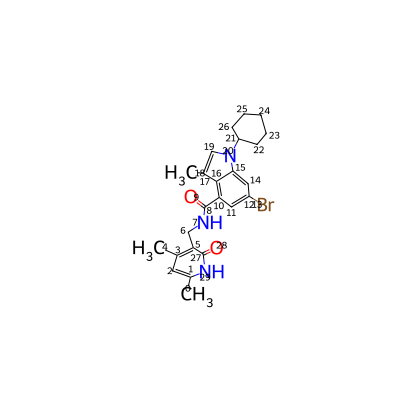 Cc1cc(C)c(CNC(=O)c2cc(Br)cc3c2c(C)cn3C2CCCCC2)c(=O)[nH]1